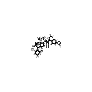 COc1ccc2c(c1)CCCC2NC(=O)c1ccc2c(-c3c(F)cccc3F)c(C)nn2c1C(C)C